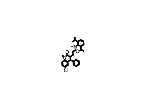 CC(C)c1cccc(C(C)C)c1NC(=O)CCC1C(=O)N(C)c2ccc(Cl)cc2C1c1ccccc1